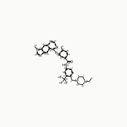 CCN1CCN(Cc2ccc(NC(=O)c3ccc(C)c(Oc4ncnc5cc6c(cc45)ncn6C)c3)cc2C(F)(F)F)CC1